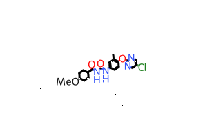 COC1CCC(C(=O)NC(=O)Nc2ccc(Oc3ncc(Cl)cn3)c(C)c2)CC1